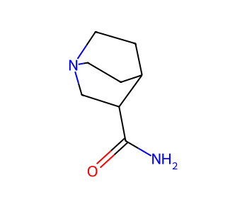 NC(=O)C1CN2CCC1CC2